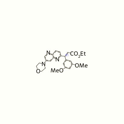 CCOC(=O)/C=C(\c1cc(OC)cc(OC)c1)c1ccc2ncc(N3CCOCC3)cc2n1